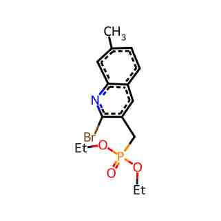 CCOP(=O)(Cc1cc2ccc(C)cc2nc1Br)OCC